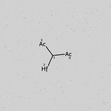 CC(=O)[CH]([Hf])C(C)=O